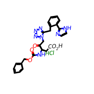 Cl.O=C(O)CC(NC(=O)OCc1ccccc1)C(=O)Cn1nnnc1Cc1ccccc1-c1ncc[nH]1